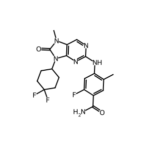 Cc1cc(C(N)=O)c(F)cc1Nc1ncc2c(n1)n(C1CCC(F)(F)CC1)c(=O)n2C